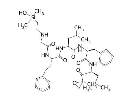 CC(C)C[C@H](NC(=O)[C@H](CCc1ccccc1)NC(=O)CNCC[Si](C)(C)O)C(=O)N[C@@H](Cc1ccccc1)C(=O)N[C@@H](CC(C)C)C(=O)[C@@]1(C)CO1